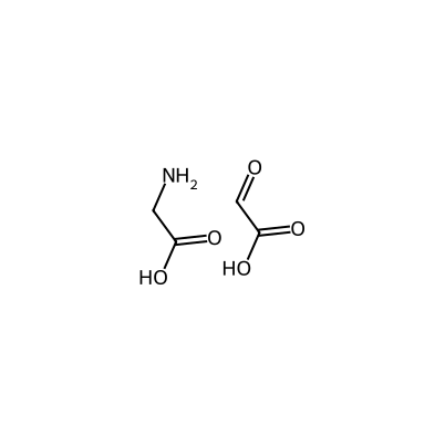 NCC(=O)O.O=CC(=O)O